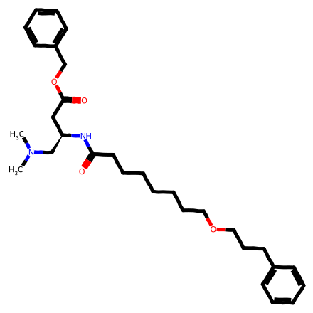 CN(C)C[C@@H](CC(=O)OCc1ccccc1)NC(=O)CCCCCCCOCCCc1ccccc1